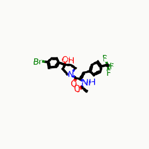 CC(=O)N/C(=C\c1ccc(C(F)(F)F)cc1)C(=O)N1CCC(O)(c2ccc(Br)cc2)CC1